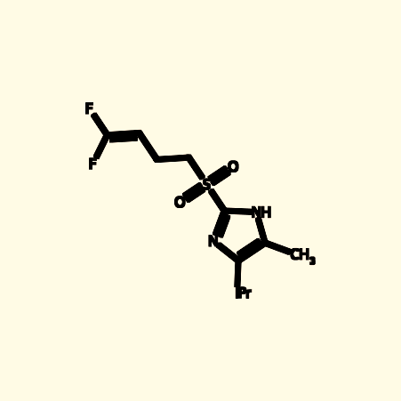 Cc1[nH]c(S(=O)(=O)CCC=C(F)F)nc1C(C)C